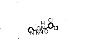 O=C(Nc1nnc(-c2ccccn2)o1)c1cc(Cl)cc(Cl)c1